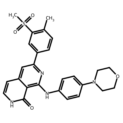 Cc1ccc(-c2cc3cc[nH]c(=O)c3c(Nc3ccc(N4CCOCC4)cc3)n2)cc1S(C)(=O)=O